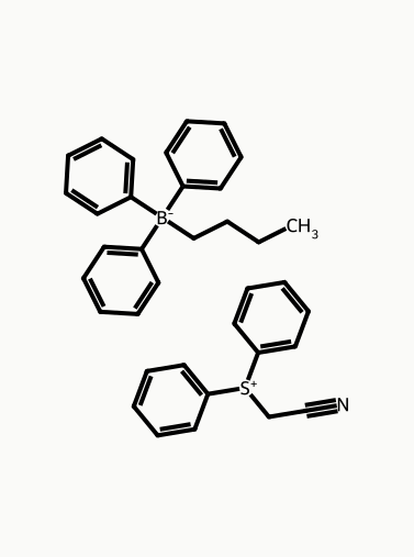 CCCC[B-](c1ccccc1)(c1ccccc1)c1ccccc1.N#CC[S+](c1ccccc1)c1ccccc1